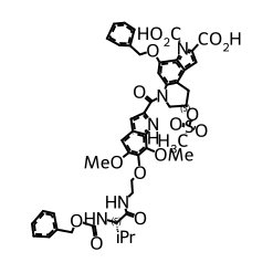 COc1cc2cc(C(=O)N3C[C@@H](OS(C)(=O)=O)Cc4c3cc(OCc3ccccc3)c3c4cc(C(=O)O)n3C(=O)O)[nH]c2c(OC)c1OCCNC(=O)[C@@H](NC(=O)OCc1ccccc1)C(C)C